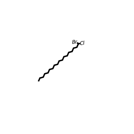 CCCCCCCCCCCCCCCCCC(Cl)Br